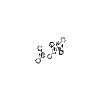 c1ccc(-c2cc(-c3cccc(-c4cc(-c5ccccn5)nc(-c5ncccc5-c5cc(-c6ccccc6)nc(-c6ccccc6)n5)c4)c3)nc(-c3ccccc3)n2)cc1